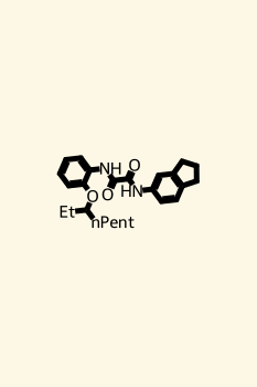 CCCCCC(CC)Oc1ccccc1NC(=O)C(=O)Nc1ccc2c(c1)CCC2